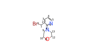 BrCc1cccnc1N1CCOCC1